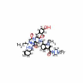 C=CCN1CC(=O)N2[C@@H](Cc3ccc(O)cc3)C(=O)N(Cc3cccc4c(C(=O)N5CCN(CCC)CC5)cn(C)c34)C[C@@H]2N1C(=O)NCc1ccccc1